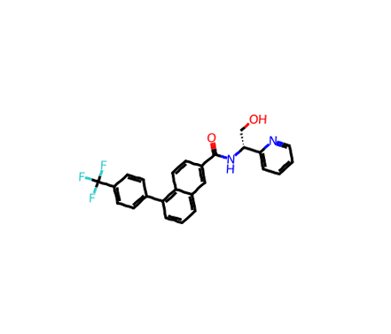 O=C(N[C@H](CO)c1ccccn1)c1ccc2c(-c3ccc(C(F)(F)F)cc3)cccc2c1